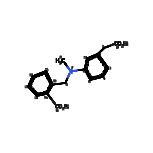 CCOC(=O)Cc1cccc(N(C)Cc2ccccc2C(=O)OCC)c1